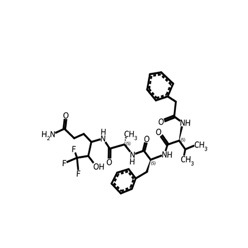 CC(C)[C@H](NC(=O)Cc1ccccc1)C(=O)N[C@@H](Cc1ccccc1)C(=O)N[C@@H](C)C(=O)NC(CCC(N)=O)C(O)C(F)(F)F